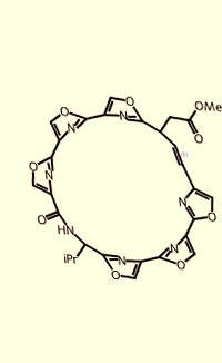 COC(=O)CC1/C=C/c2coc(n2)-c2coc(n2)-c2coc(n2)C(C(C)C)NC(=O)c2coc(n2)-c2coc(n2)-c2coc1n2